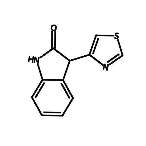 O=C1Nc2ccccc2C1c1cscn1